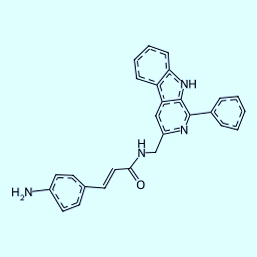 Nc1ccc(/C=C/C(=O)NCc2cc3c([nH]c4ccccc43)c(-c3ccccc3)n2)cc1